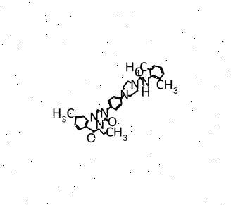 CCC(C(=O)c1ccc(C)cc1)n1ncn(-c2ccc(N3CCN(C(=O)Nc4c(C)cccc4C)CC3)cc2)c1=O